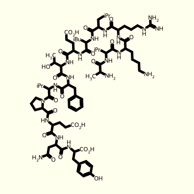 CCC(C)C(NC(=O)C(CC(C)C)NC(=O)C(CCCNC(=N)N)NC(=O)C(CCCCN)NC(=O)C(NC(=O)C(C)N)C(C)C)C(=O)NC(CCC(=O)O)C(=O)NC(C(=O)NC(Cc1ccccc1)C(=O)NC(C(=O)N1CCCC1C(=O)NC(CCC(=O)O)C(=O)NC(CC(N)=O)C(=O)NC(Cc1ccc(O)cc1)C(=O)O)C(C)C)C(C)O